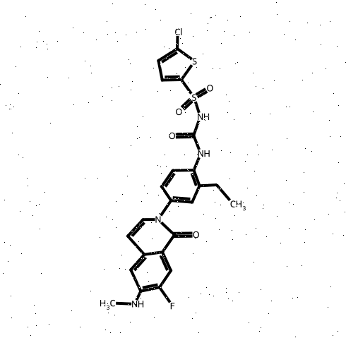 CCc1cc(-n2ccc3cc(NC)c(F)cc3c2=O)ccc1NC(=O)NS(=O)(=O)c1ccc(Cl)s1